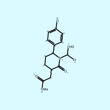 CCC(C=O)N1C(=O)C(CC(=O)OC)CCC1c1ccc(Cl)cc1